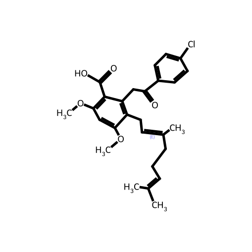 COc1cc(OC)c(C(=O)O)c(CC(=O)c2ccc(Cl)cc2)c1C/C=C(\C)CCC=C(C)C